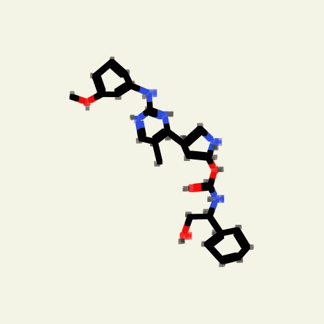 COc1cccc(Nc2ncc(C)c(-c3c[nH]c(OC(=O)NC(CO)c4ccccc4)c3)n2)c1